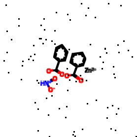 O=C([O-])c1ccccc1.O=C([O-])c1ccccc1.O=[NH+][O-].[Zn+2]